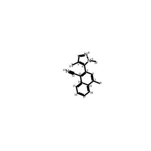 Cc1cc(-c2c(I)cnn2C)c(C#N)c2ccccc12